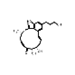 C[C@H]1C/C=C\C(=O)[C@@H](O)[C@@H](O)C/C=C/c2cc(CCCO)cc(O)c2C(=O)O1